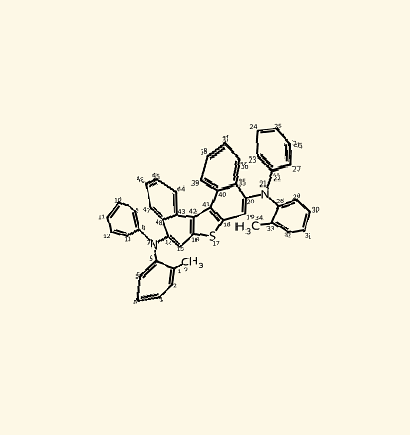 Cc1ccccc1N(c1ccccc1)c1cc2sc3cc(N(c4ccccc4)c4ccccc4C)c4ccccc4c3c2c2ccccc12